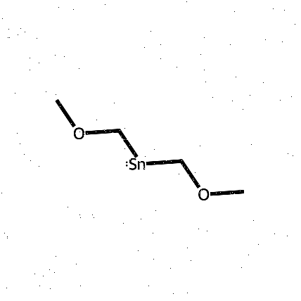 CO[CH2][Sn][CH2]OC